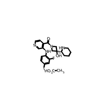 CC(=O)O.O=C(c1ccncc1Nc1ccc(I)cc1F)N1CC(O)([C@@H]2CCCCN2)C1